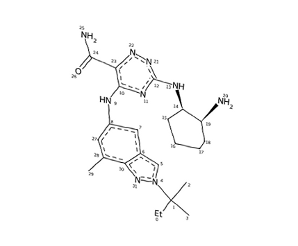 CCC(C)(C)n1cc2cc(Nc3nc(N[C@@H]4CCCC[C@@H]4N)nnc3C(N)=O)cc(C)c2n1